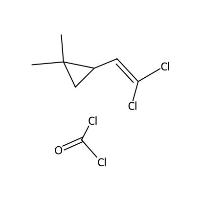 CC1(C)CC1C=C(Cl)Cl.O=C(Cl)Cl